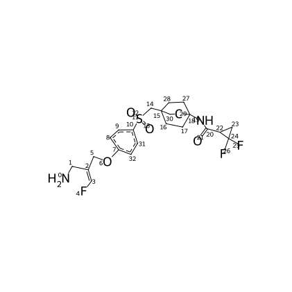 NCC(=CF)COc1ccc(S(=O)(=O)CC23CCC(NC(=O)C4CC4(F)F)(CC2)CC3)cc1